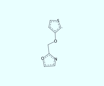 [c]1sccc1OCc1ncco1